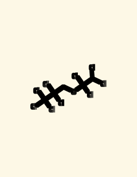 ClC(Cl)C(Cl)(Cl)OCC(Cl)(Cl)C(Cl)(Cl)Cl